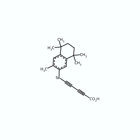 Cc1cc2c(cc1[Se]C#CC#CC(=O)O)C(C)(C)CCC2(C)C